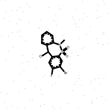 CN1c2ccccc2C(Cl)c2cc(F)c(Br)cc2S1(=O)=O